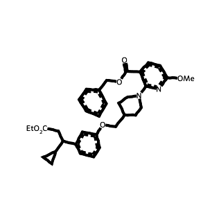 CCOC(=O)CC(c1cccc(OCC2CCN(c3nc(OC)ccc3C(=O)OCc3ccccc3)CC2)c1)C1CC1